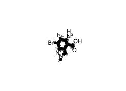 Cn1cc2c(C(=O)O)c(N)c(F)c(Br)c2n1